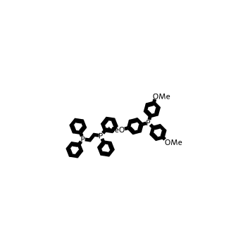 COc1ccc(P(c2ccc(OC)cc2)c2ccc(OC)cc2)cc1.c1ccc(P(CCP(c2ccccc2)c2ccccc2)c2ccccc2)cc1